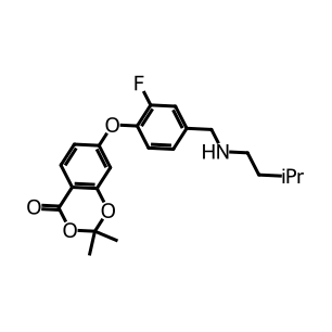 CC(C)CCNCc1ccc(Oc2ccc3c(c2)OC(C)(C)OC3=O)c(F)c1